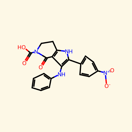 O=C(O)N1CCc2[nH]c(-c3ccc([N+](=O)[O-])cc3)c(Nc3ccccc3)c2C1=O